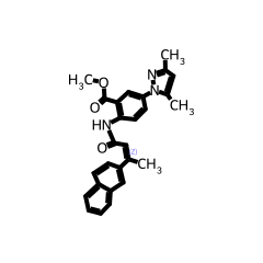 COC(=O)c1cc(-n2nc(C)cc2C)ccc1NC(=O)/C=C(/C)c1ccc2ccccc2c1